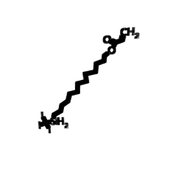 C=CC(=O)OCCCCCCCCCCCCC[SiH2]C(I)(I)I